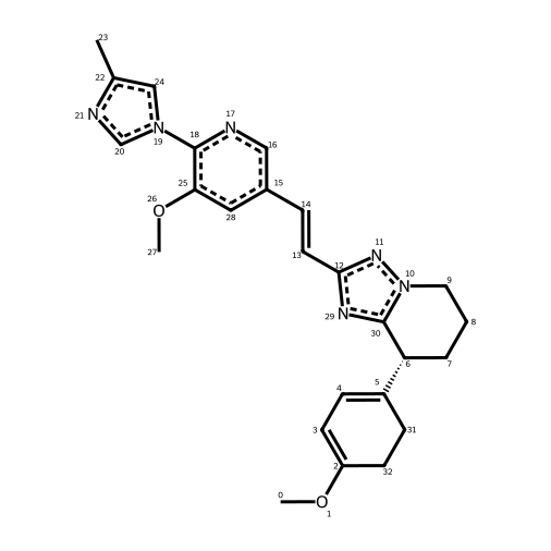 COC1=CC=C([C@H]2CCCn3nc(/C=C/c4cnc(-n5cnc(C)c5)c(OC)c4)nc32)CC1